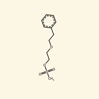 CS(=O)(=O)OCCOCCc1ccccc1